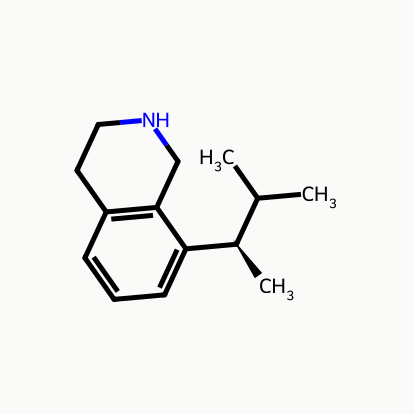 CC(C)[C@@H](C)c1cccc2c1CNCC2